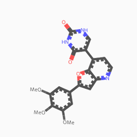 COc1cc(-c2cc3nccc(-c4c[nH]c(=O)[nH]c4=O)c3o2)cc(OC)c1OC